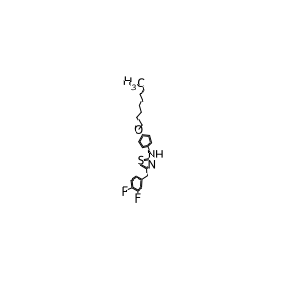 CCCCCCCCOc1ccc(Nc2nc(Cc3ccc(F)c(F)c3)cs2)cc1